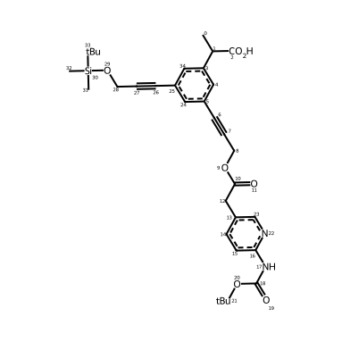 CC(C(=O)O)c1cc(C#CCOC(=O)Cc2ccc(NC(=O)OC(C)(C)C)nc2)cc(C#CCO[Si](C)(C)C(C)(C)C)c1